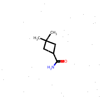 CC1(C)CC(C(N)=O)C1